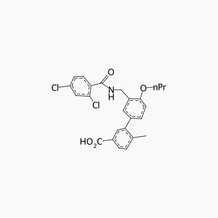 CCCOc1ccc(-c2cc(C(=O)O)ccc2C)cc1CNC(=O)c1ccc(Cl)cc1Cl